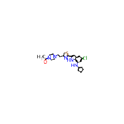 CC(=O)N1CCN(CC[C@H]2CSC(c3cc4cc(Cl)cc(NC5CCCC5)c4[nH]3)=N2)CC1